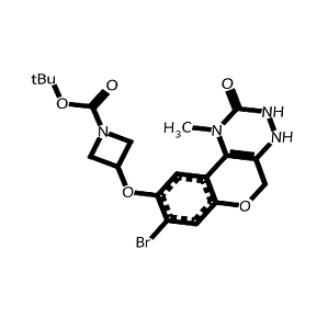 CN1C(=O)NNC2=C1c1cc(OC3CN(C(=O)OC(C)(C)C)C3)c(Br)cc1OC2